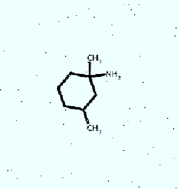 CC1CCCC(C)(N)C1